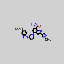 COc1ccc(N[C@@H]2CCCN(c3ccc(C(N)=O)c4[nH]c(-c5cnn(C)c5)cc34)C2)cc1